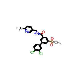 Cc1ccc(CNC(=O)c2cc(-c3ccc(Cl)c(Cl)c3)cc(S(C)(=O)=O)c2)cn1